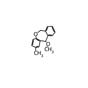 COC1c2ccccc2COc2ccc(C)cc21